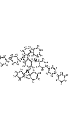 c1ccc(-c2ccc(-c3ccc(N(c4ccccc4)c4cc(N(c5ccccc5)c5ccccc5)cc5c4c4ccccc4n5-c4ccc(-c5ccccc5)cc4)cc3)cc2)cc1